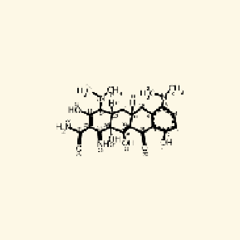 CN(C)c1ccc(O)c2c1C[C@H]1C[C@H]3[C@H](N(C)C)C(O)=C(C(N)=O)C(=N)[C@@]3(O)C(O)=C1C2=O